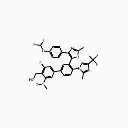 Cc1nc(-c2ccc(OC(F)F)cc2)c(-c2cc(-c3cc(F)c(CO)c([S+](C)[O-])c3)ccc2-n2cc(C(F)(F)F)nc2C)o1